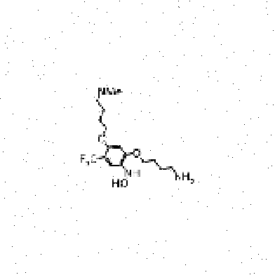 CNCCCCOc1cc(OCCCCN)c(NO)cc1C(F)(F)F